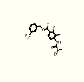 CCN(C)C(=S)Nc1ccc(C(=O)OCc2cccc(C(F)(F)F)c2)c(F)c1C